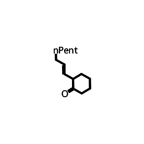 CCCCCCC=CC1CCCCC1=O